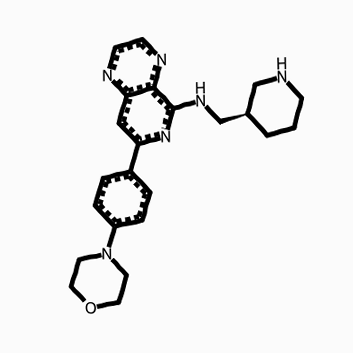 c1cnc2c(NC[C@@H]3CCCNC3)nc(-c3ccc(N4CCOCC4)cc3)cc2n1